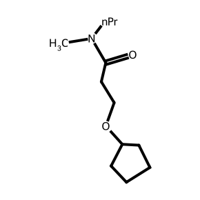 CCCN(C)C(=O)CCOC1CCCC1